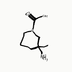 CC1(N)CCCN(C(=O)O)C1